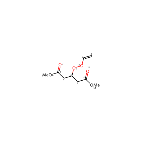 C=COOC(CC(=O)OC)CC(=O)OC